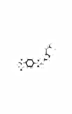 CS(=O)(=O)S(=O)(=O)c1ccc(S(=O)(=O)Nc2nc(CC(=O)O)cs2)cc1